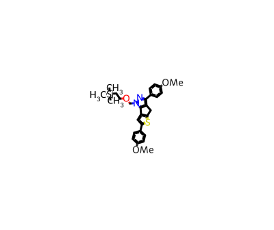 COc1ccc(-c2cc3c(s2)Cc2c(-c4ccc(OC)cc4)nn(COCC[Si](C)(C)C)c2-3)cc1